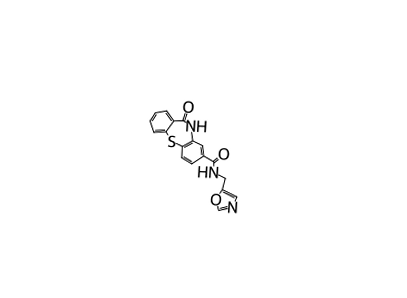 O=C(NCc1cnco1)c1ccc2c(c1)NC(=O)c1ccccc1S2